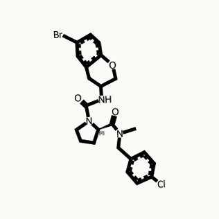 CN(Cc1ccc(Cl)cc1)C(=O)[C@H]1CCCN1C(=O)NC1COc2ccc(Br)cc2C1